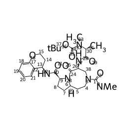 CNC(=O)N1CC[C@H]2CC[C@@H](C(=O)N[C@@H]3CCOc4ccccc43)N2C(=O)[C@@H](NC(=O)[C@H](C)N(C)C(=O)OC(C)(C)C)C1